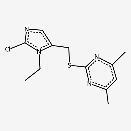 CCn1c(CSc2nc(C)cc(C)n2)cnc1Cl